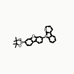 CC1(C)OB(c2ccc3c(c2)oc2cc(-n4c5ccccc5c5cccnc54)ccc23)OC1(C)C